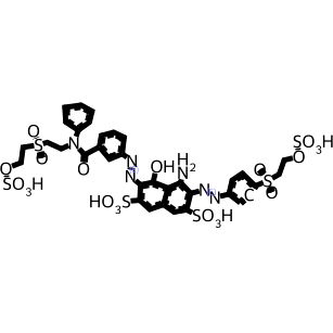 Nc1c(/N=N/c2ccc(S(=O)(=O)CCOS(=O)(=O)O)cc2)c(S(=O)(=O)O)cc2cc(S(=O)(=O)O)c(/N=N/c3cccc(C(=O)N(CCS(=O)(=O)CCOS(=O)(=O)O)c4ccccc4)c3)c(O)c12